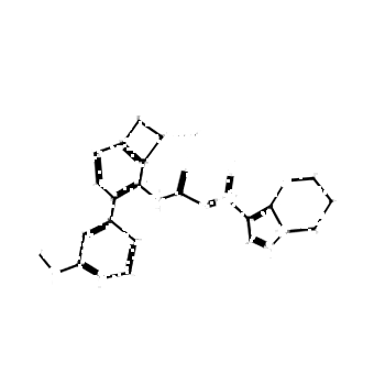 COc1cc(-c2ccc3c(c2NC(=O)N=[SH](=O)c2cnn4c2OCCC4)[C@@H](C)C3)ccn1